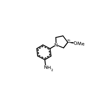 CO[C@@H]1CCN(c2cccc(N)c2)C1